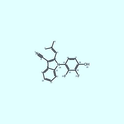 CC(C)=Cc1c(C#N)c2ccccc2n1-c1ccc(O)c(F)c1F